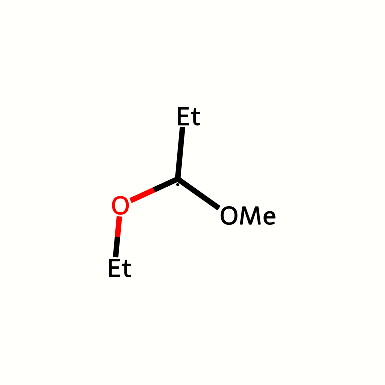 CCO[C](CC)OC